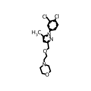 Cc1cc(COCCN2CCOCC2)nn1-c1ccc(Cl)c(Cl)c1